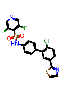 O=S(=O)(Nc1ccc(-c2cc(-c3nccs3)ccc2Cl)cc1)c1c(F)cncc1F